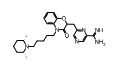 C[C@@H]1CCC[C@H](C)N1CCCCCN1C(=O)C(Cc2cncc(C(=N)N)n2)Oc2ccccc21